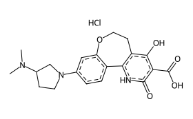 CN(C)C1CCN(c2ccc3c(c2)OCCc2c-3[nH]c(=O)c(C(=O)O)c2O)C1.Cl